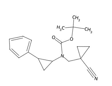 CC(C)(C)OC(=O)N(CC1(C#N)CC1)C1CC1c1ccccc1